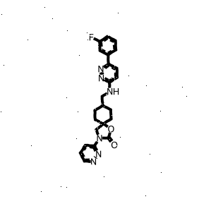 O=C1OC2(CCC(CNc3ccc(-c4cccc(F)c4)nn3)CC2)CN1c1cccnn1